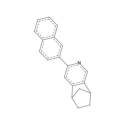 c1ccc2cc(-c3cc4c(cn3)C3CCC4C3)ccc2c1